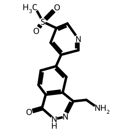 CS(=O)(=O)c1cncc(-c2ccc3c(=O)[nH]nc(CN)c3c2)c1